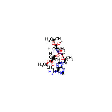 CC(C)OC(=O)C(C)(C)COP(=O)(COC(C)Cn1cnc2c(N)ncnc21)NC(C)(C)C(=O)OC(C)C